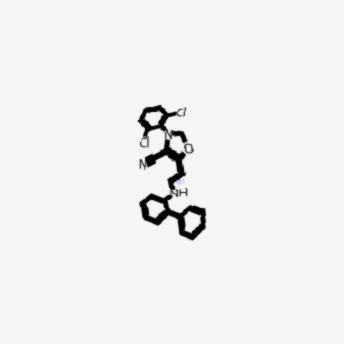 N#CC1=C(/C=C/Nc2ccccc2-c2ccccc2)OCN1c1c(Cl)cccc1Cl